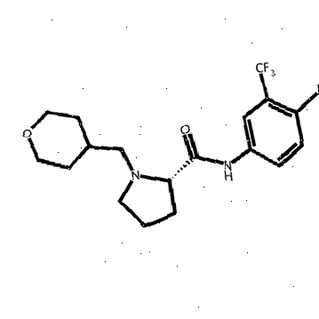 O=C(Nc1ccc(F)c(C(F)(F)F)c1)[C@@H]1CCCN1CC1CCOCC1